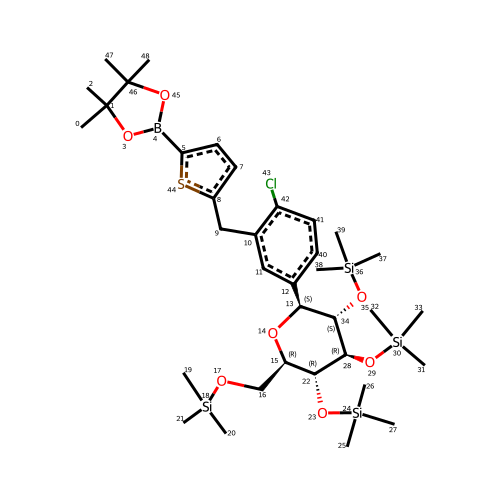 CC1(C)OB(c2ccc(Cc3cc([C@@H]4O[C@H](CO[Si](C)(C)C)[C@@H](O[Si](C)(C)C)[C@H](O[Si](C)(C)C)[C@H]4O[Si](C)(C)C)ccc3Cl)s2)OC1(C)C